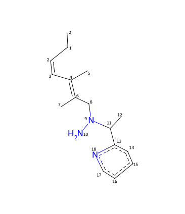 CC/C=C\C(C)=C(/C)CN(N)C(C)c1ccccn1